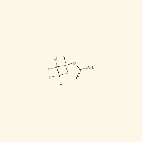 CC1(OC(N)=O)CC(F)(F)C1(F)Cl